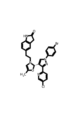 CC1=CN(CCc2ccc3c(c2)CC(=O)N3)[C@H](c2cn(-c3ccc(Br)cc3)nc2-c2ccc(Cl)cn2)O1